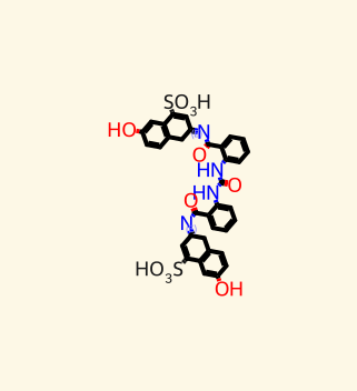 O=C(Nc1ccccc1C(=O)/N=C1/C=C(S(=O)(=O)O)c2cc(O)ccc2C1)Nc1ccccc1C(=O)/N=C1/C=C(S(=O)(=O)O)c2cc(O)ccc2C1